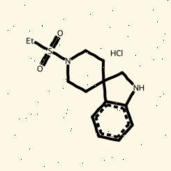 CCS(=O)(=O)N1CCC2(CC1)CNc1ccccc12.Cl